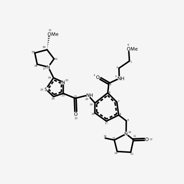 COCCNC(=O)c1cc(CN2C(=O)CCC2C)ccc1NC(=O)c1csc(N2CC[C@H](OC)C2)n1